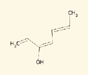 C=C/C(O)=C\C=C\C